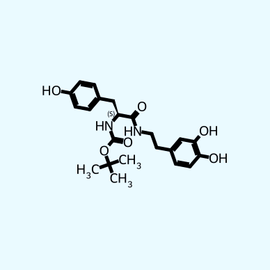 CC(C)(C)OC(=O)N[C@@H](Cc1ccc(O)cc1)C(=O)NCCc1ccc(O)c(O)c1